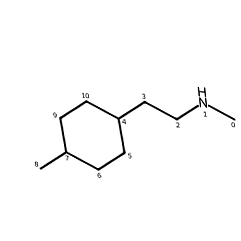 CNCCC1CCC(C)CC1